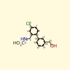 O=C(O)NCc1cc(Cl)ccc1-c1cccc(CO)c1